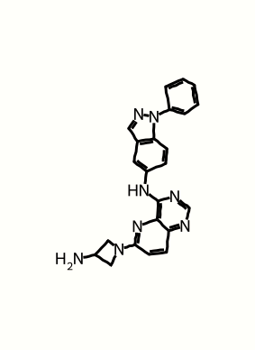 NC1CN(c2ccc3ncnc(Nc4ccc5c(cnn5-c5ccccc5)c4)c3n2)C1